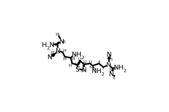 CN=C(N)N(C#N)CCC(N)Cc1cc(CC(N)CCN(C#N)C(N)=NC)sn1